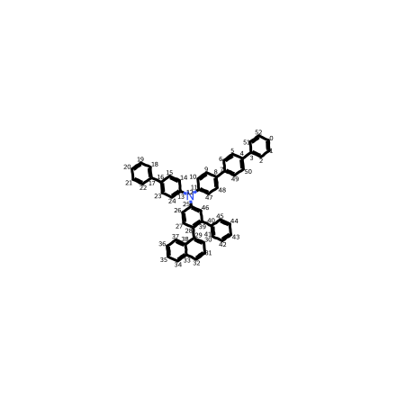 c1ccc(-c2ccc(-c3ccc(N(c4ccc(-c5ccccc5)cc4)c4ccc(-c5cccc6ccccc56)c(-c5ccccc5)c4)cc3)cc2)cc1